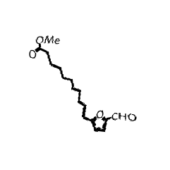 COC(=O)CCCCCCCCC=Cc1ccc(C=O)o1